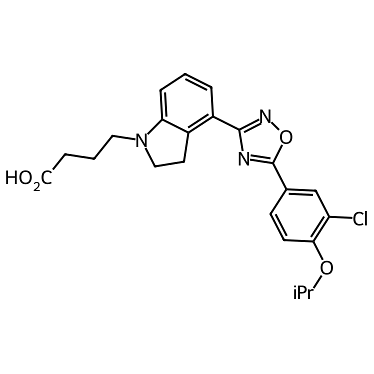 CC(C)Oc1ccc(-c2nc(-c3cccc4c3CCN4CCCC(=O)O)no2)cc1Cl